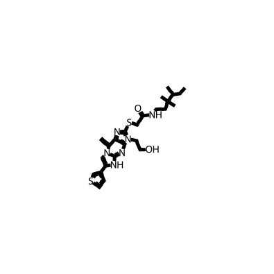 C=C1c2nc(SCC(=O)NCCC(C)(C)C(C)CC)n(CCO)c2N=C2NC(c3ccsc3)=CN12